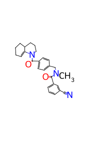 CN(Cc1ccc(C(=O)N2CCCC3CCCC=C32)cc1)C(=O)c1cccc(C#N)c1